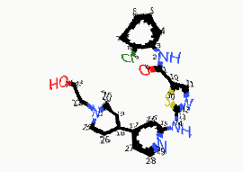 O=C(Nc1ccccc1Cl)c1cnc(Nc2cc(C3CCN(CCO)CC3)ccn2)s1